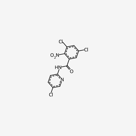 O=C(Nc1ccc(Cl)cn1)c1cc(Cl)cc(Cl)c1[N+](=O)[O-]